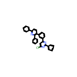 Clc1cc(-c2cccc(-c3ccc(-c4ccccc4)nc3-c3ccccc3)c2)nc(-c2ccccc2)n1